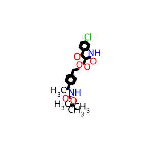 CC(NC(=O)OC(C)(C)C)c1ccc(CCOC(=O)C2C(=O)Nc3cc(Cl)ccc3C2=O)cc1